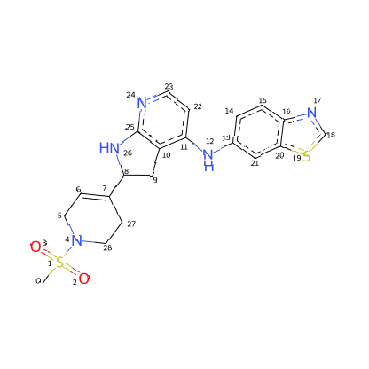 CS(=O)(=O)N1CC=C(C2Cc3c(Nc4ccc5ncsc5c4)ccnc3N2)CC1